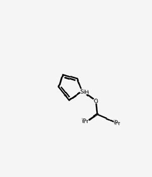 CC(C)C(O[SiH]1C=CC=C1)C(C)C